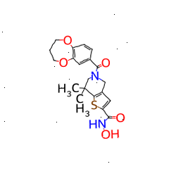 CC1(C)CN(C(=O)c2ccc3c(c2)OCCCO3)Cc2cc(C(=O)NO)sc21